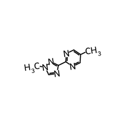 Cc1cnc(-c2ncn(C)n2)nc1